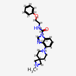 CN1CC2(CCN(c3cccc4c3ncn4C(=O)NCCOc3ccccc3)CC2)C1